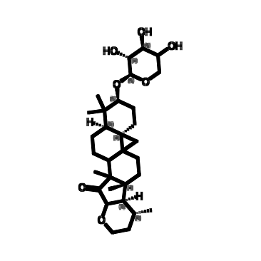 C[C@@H]1CCOC2C(=O)C3(C)C4CC[C@H]5C(C)(C)[C@@H](O[C@@H]6OCC(O)[C@H](O)[C@H]6O)CC[C@@]56CC46CC[C@]3(C)[C@H]21